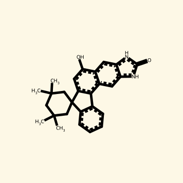 CC1(C)CC(C)(C)CC2(C1)c1ccccc1-c1c2cc(O)c2cc3[nH]c(=O)[nH]c3cc12